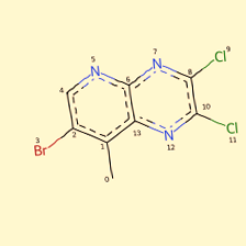 Cc1c(Br)cnc2nc(Cl)c(Cl)nc12